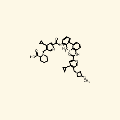 COC1CN(Cc2cnc(C(=O)Nc3cccc(-c4cccc(NC(=O)c5cc(C6CC6)c(CN6CCCC[C@H]6C(=O)O)cn5)c4C)c3C)cc2C2CC2)C1